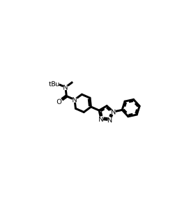 CN(C(=O)N1CC=C(c2cn(-c3ccccc3)nn2)CC1)C(C)(C)C